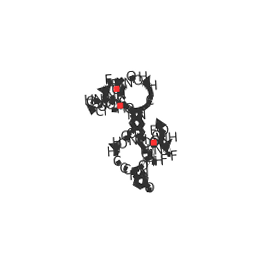 CC[C@@H]1[C@@H]2CN(C(=O)[C@H](C(C)(C)C)NC(=O)O[C@@H]3C[C@H]3CCCCCc3nc4cc(CC(C)(C)[C@@H]5NC(=O)O[C@@H]6C[C@H]6CCCCCc6nc7ccc(OC)cc7nc6O[C@H]6CN(C5=O)[C@H](C(=O)N[C@]5(C(=O)NS(=O)(=O)C7(F)CC7)C[C@H]5C(F)F)[C@@H]6CC)c(OC)cc4nc3O2)[C@@H]1C(=O)N[C@]1(C(=O)NS(=O)(=O)C2(Cl)CC2)C[C@H]1C(F)F